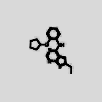 CCc1cc2c(Nc3ccccc3OC3CCCC3)ncnc2s1